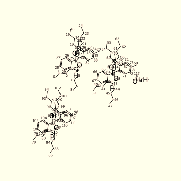 CCCC[SiH](CCCC)O[PH](O[Si](CCCC)(CCCC)CCCC)(c1ccccc1)c1ccccc1CC.CCCC[SiH](CCCC)O[PH](O[Si](CCCC)(CCCC)CCCC)(c1ccccc1)c1ccccc1CC.CCCC[SiH](CCCC)O[PH](O[Si](CCCC)(CCCC)CCCC)(c1ccccc1)c1ccccc1CC.[C]=O.[IrH]